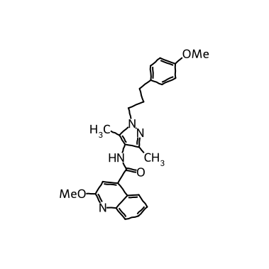 COc1ccc(CCCn2nc(C)c(NC(=O)c3cc(OC)nc4ccccc34)c2C)cc1